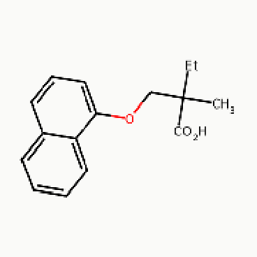 CCC(C)(COc1cccc2ccccc12)C(=O)O